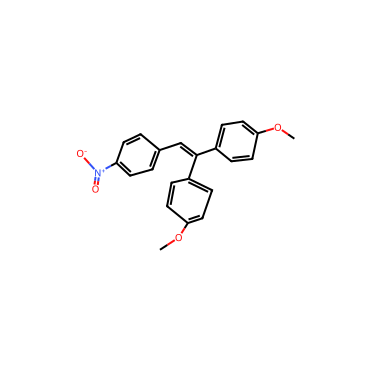 COc1ccc(C(=Cc2ccc([N+](=O)[O-])cc2)c2ccc(OC)cc2)cc1